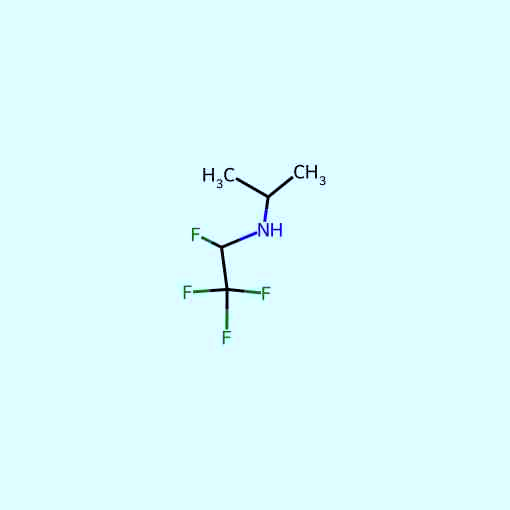 CC(C)NC(F)C(F)(F)F